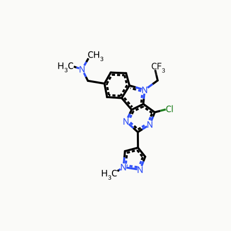 CN(C)Cc1ccc2c(c1)c1nc(-c3cnn(C)c3)nc(Cl)c1n2CC(F)(F)F